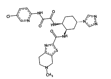 CN1CCc2nc(C(=O)N[C@@H]3C[C@@H](n4cnnc4)CC[C@@H]3NC(=O)C(=O)Nc3ccc(Cl)cn3)sc2C1